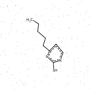 CCCCCc1ccnc(S)n1